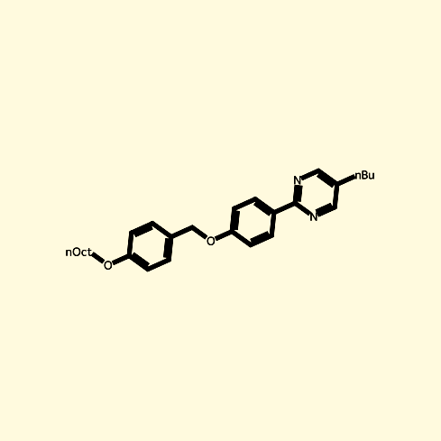 CCCCCCCCOc1ccc(COc2ccc(-c3ncc(CCCC)cn3)cc2)cc1